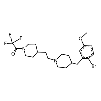 COc1ccc(Br)c(CC2CCN(CCC3CCN(C(=O)C(F)(F)F)CC3)CC2)c1